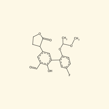 COC(C)Oc1ccc(F)cc1-c1cc(C2CCOC2=O)cc(C=O)c1O